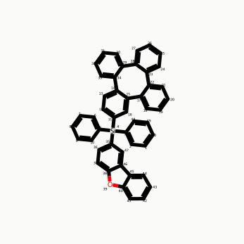 c1ccc([Si](c2ccccc2)(c2ccc3c(c2)-c2ccccc2-c2ccccc2-c2ccccc2-3)c2ccc3oc4ccccc4c3c2)cc1